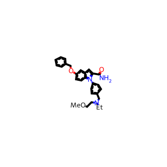 CCN(CCOC)Cc1ccc(-n2c(C(N)=O)cc3cc(OCc4ccccc4)ccc32)cc1